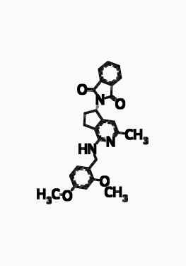 COc1ccc(CNc2nc(C)cc3c2CC[C@@H]3N2C(=O)c3ccccc3C2=O)c(OC)c1